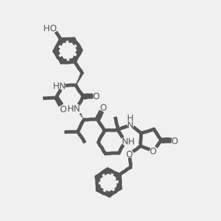 CC(=O)N[C@@H](Cc1ccc(O)cc1)C(=O)N[C@H](C(=O)C1CCCNC1(C)NC1CC(=O)OC1OCc1ccccc1)C(C)C